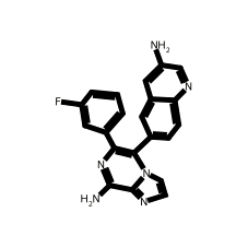 Nc1cnc2ccc(-c3c(-c4cccc(F)c4)nc(N)c4nccn34)cc2c1